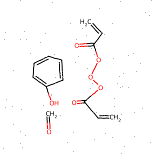 C=CC(=O)OOOC(=O)C=C.C=O.Oc1ccccc1